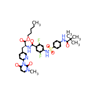 CCCCCOC(=O)[C@H](Cc1ccc(-n2c(=O)ccn(C)c2=O)nc1)NC(=O)c1cc(F)c(NS(=O)(=O)c2ccc(NC(=O)C(C)(C)C)cc2)cc1F